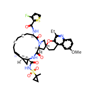 CCc1nc2ccc(OC)cc2c2c1O[C@]1(CC2)C[C@H]2C(=O)N[C@]3(C(=O)NS(=O)(=O)C4(C)CC4)C[C@H]3/C=C\CCCCC[C@H](NC(=O)c3sccc3F)C(=O)N2C1